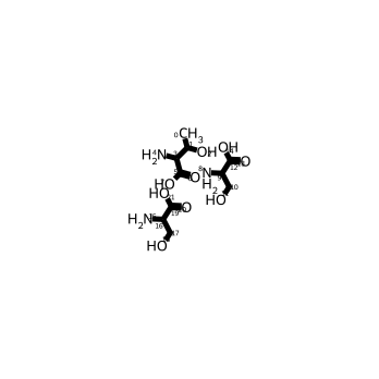 CC(O)C(N)C(=O)O.NC(CO)C(=O)O.NC(CO)C(=O)O